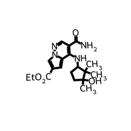 CCOC(=O)c1cc2c(NC3CCC(C)(O)C3(C)C)c(C(N)=O)cnn2c1